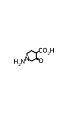 NN1CCC(C(=O)O)C(=O)C1